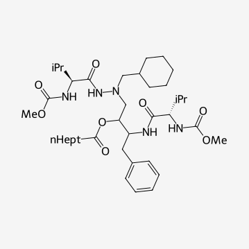 CCCCCCCC(=O)OC(CN(CC1CCCCC1)NC(=O)[C@@H](NC(=O)OC)C(C)C)C(Cc1ccccc1)NC(=O)[C@@H](NC(=O)OC)C(C)C